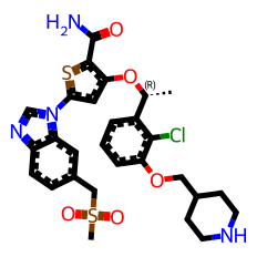 C[C@@H](Oc1cc(-n2cnc3ccc(CS(C)(=O)=O)cc32)sc1C(N)=O)c1cccc(OCC2CCNCC2)c1Cl